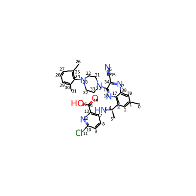 Cc1cc([C@@H](C)Nc2ccc(Cl)nc2C(=O)O)c2nc(N3CCN(c4c(C)cccc4C)CC3)c(C#N)nc2c1